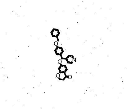 O=C1CCOc2cc(OC(c3ccncc3)c3ccc(OCc4ccccc4)cc3)ccc21